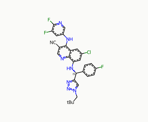 CC(C)(C)Cn1cc([C@@H](Nc2cc(Cl)cc3c(Nc4cnc(F)c(F)c4)c(C#N)cnc23)c2ccc(F)cc2)nn1